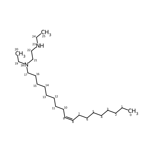 CCCCCCCC/C=C\CCCCCCCCN(CC)CCNCC